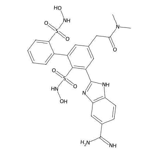 CN(C)C(=O)Cc1cc(-c2nc3cc(C(=N)N)ccc3[nH]2)c(S(=O)(=O)NO)c(-c2ccccc2S(=O)(=O)NO)c1